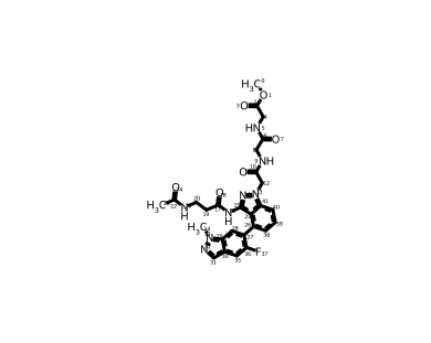 COC(=O)CNC(=O)CNC(=O)Cn1nc(NC(=O)CCNC(C)=O)c2c(-c3cc4c(cnn4C)cc3F)cccc21